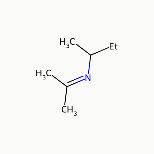 CCC(C)N=C(C)C